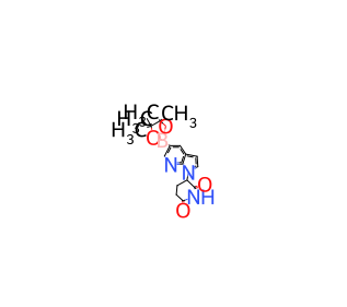 CC1(C)OB(c2cnc3c(ccn3C3CCC(=O)NC3=O)c2)OC1(C)C